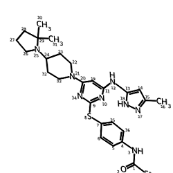 CCC(=O)Nc1ccc(Sc2nc(Nc3cc(C)n[nH]3)cc(N3CCC(N4CCCC4(C)C)CC3)n2)cc1